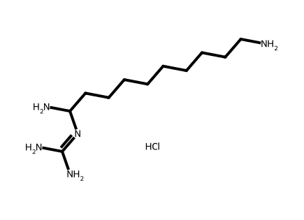 Cl.NCCCCCCCCCC(N)N=C(N)N